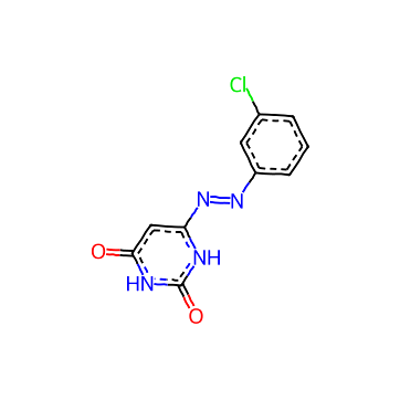 O=c1cc(/N=N/c2cccc(Cl)c2)[nH]c(=O)[nH]1